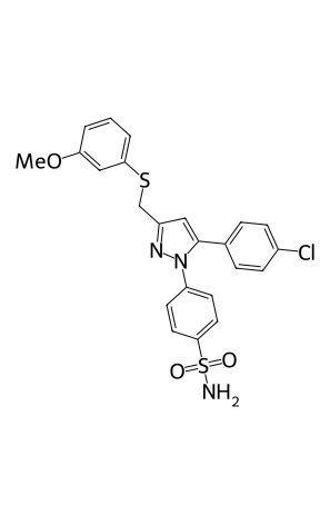 COc1cccc(SCc2cc(-c3ccc(Cl)cc3)n(-c3ccc(S(N)(=O)=O)cc3)n2)c1